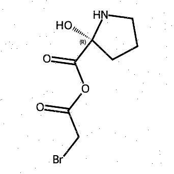 O=C(CBr)OC(=O)[C@]1(O)CCCN1